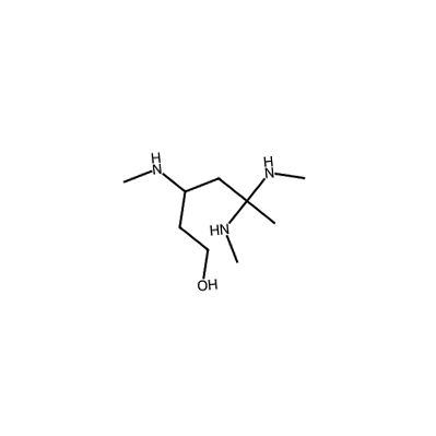 CNC(CCO)CC(C)(NC)NC